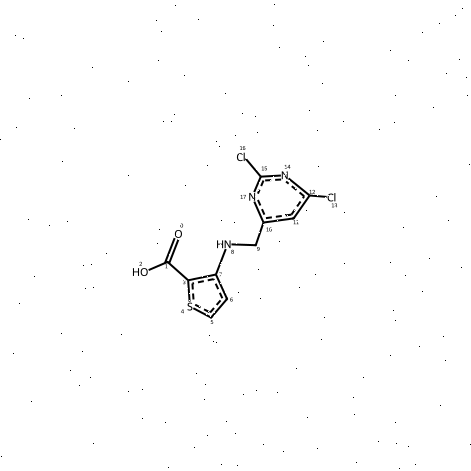 O=C(O)c1sccc1NCc1cc(Cl)nc(Cl)n1